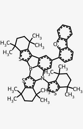 CC1(C)CCC(C)(C)c2c(N3c4cc(-c5cccc6c5oc5ccccc56)cc5c4B(c4sc6c(c4-5)C(C)(C)CCC6(C)C)c4sc5c(c43)C(C)(C)CCC5(C)C)csc21